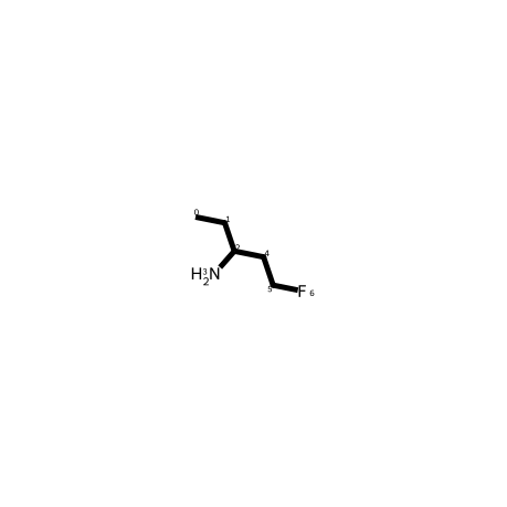 CCC(N)CCF